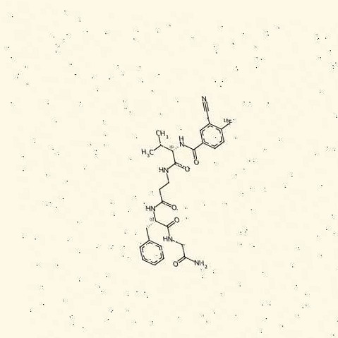 CC(C)[C@H](NC(=O)c1ccc([18F])c(C#N)c1)C(=O)NCCC(=O)N[C@@H](Cc1ccccc1)C(=O)NCC(N)=O